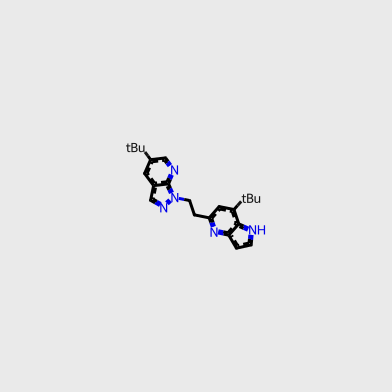 CC(C)(C)c1cnc2c(cnn2CCc2cc(C(C)(C)C)c3[nH]ccc3n2)c1